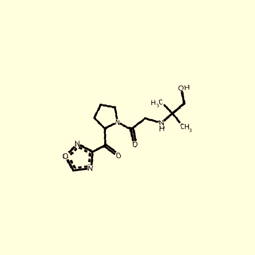 CC(C)(CO)NCC(=O)N1CCCC1C(=O)c1ncon1